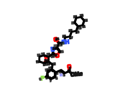 COC(=O)/C=C/c1ccc(F)cc1CC1C2CCC(O2)C1c1nc(C(=O)NCCCCC2CCCCC2)co1